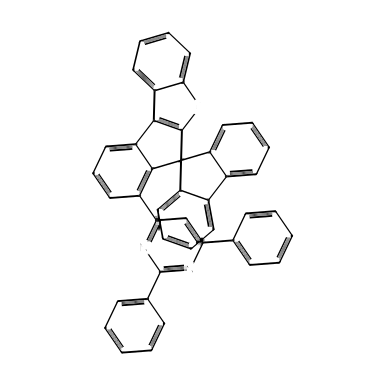 c1ccc(-c2cc(-c3cccc4c3C3(c5ccccc5-c5ccccc53)c3oc5ccccc5c3-4)nc(-c3ccccc3)n2)cc1